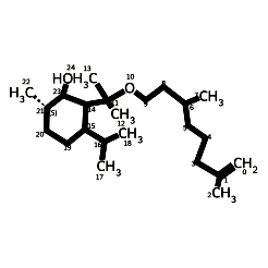 C=C(C)CCCC(C)CCOC(C)(C)C1C(C(C)C)CC[C@H](C)C1O